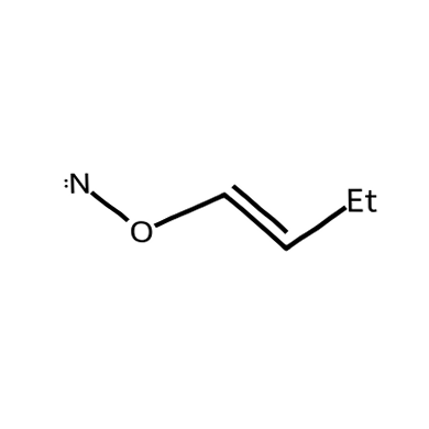 CC/C=C/O[N]